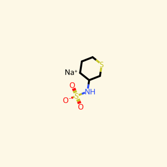 O=S(=O)([O-])NC1CCCSC1.[Na+]